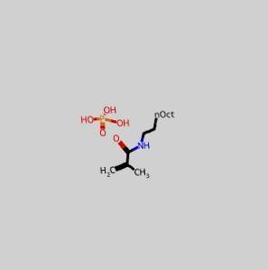 C=C(C)C(=O)NCCCCCCCCCC.O=P(O)(O)O